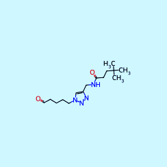 CC(C)(C)CCC(=O)NCc1cn(CCCCC=O)nn1